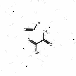 CC(=O)C(=O)O.O=CO